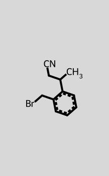 CC(CC#N)c1ccccc1CBr